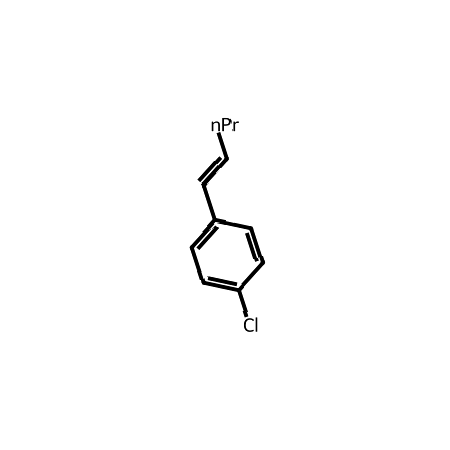 [CH2]CC/C=C/c1ccc(Cl)cc1